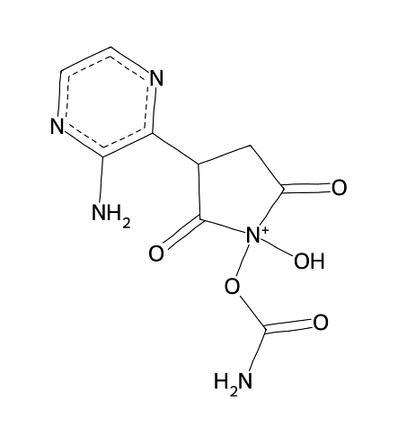 NC(=O)O[N+]1(O)C(=O)CC(c2nccnc2N)C1=O